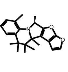 Cc1cccc2c1N1[C@@H](C)c3oc4occc4c3C1(C)C(C)(C)C2(C)C